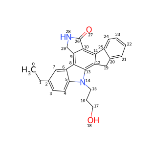 CCc1ccc2c(c1)c1c3c(c4c(c1n2CCCO)Cc1ccccc1-4)C(=O)NC3